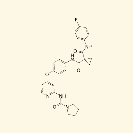 O=C(Nc1cc(Oc2ccc(NC(=O)C3(C(=O)Nc4ccc(F)cc4)CC3)cc2)ccn1)N1CCCC1